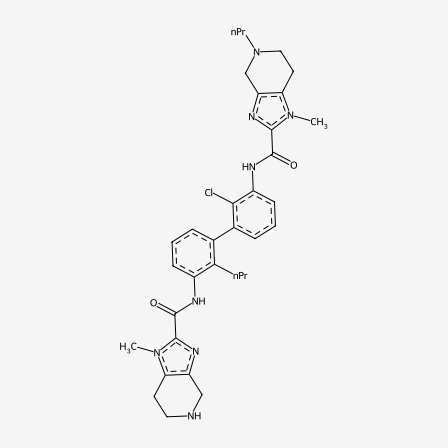 CCCc1c(NC(=O)c2nc3c(n2C)CCNC3)cccc1-c1cccc(NC(=O)c2nc3c(n2C)CCN(CCC)C3)c1Cl